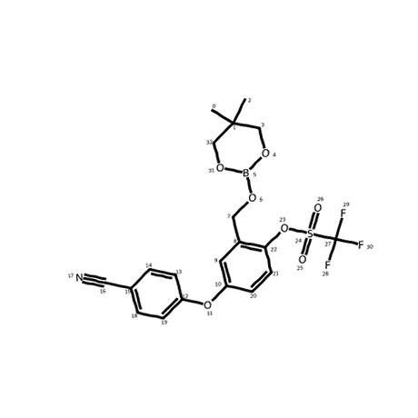 CC1(C)COB(OCc2cc(Oc3ccc(C#N)cc3)ccc2OS(=O)(=O)C(F)(F)F)OC1